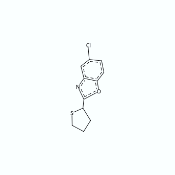 Clc1ccc2oc(C3CCCS3)nc2c1